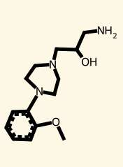 COc1ccccc1N1CCN(CC(O)CN)CC1